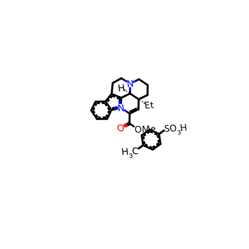 CC[C@@]12C=C(C(=O)OC)n3c4c(c5ccccc53)CCN(CCC1)[C@H]42.Cc1ccc(S(=O)(=O)O)cc1